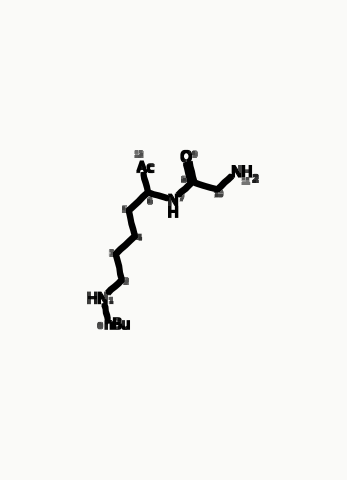 CCCCNCCCCC(NC(=O)CN)C(C)=O